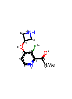 CNC(=O)c1nccc(OC2CNC2)c1F